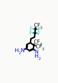 NC1=CC(CCC(F)(F)C(F)(F)C(F)(F)F)C(C(F)(F)F)(C(F)(F)F)C(N)=C1